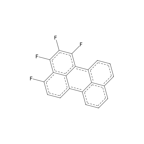 Fc1c(F)c2c(F)ccc3c4cccc5cccc(c(c1F)c23)c54